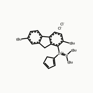 CC(C)(C)c1ccc2c(c1)Cc1c-2ccc(C(C)(C)C)[c]1[Zr+2]([C]1=CC=CC1)=[Si](C(C)(C)C)C(C)(C)C.[Cl-].[Cl-]